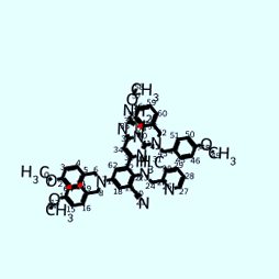 COc1ccc(CN(Cc2ccc(OC)cc2)c2cc(C#N)c(NCc3ncccc3C)c(-c3cc4nc(N)nn4c(N(Cc4ccc(OC)cc4)Cc4ccc(OC)cc4)n3)c2)cc1